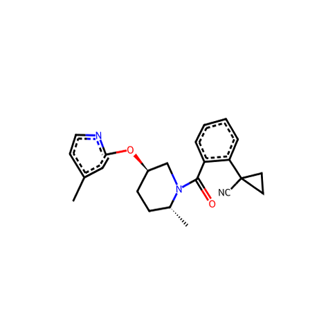 Cc1ccnc(O[C@@H]2CC[C@@H](C)N(C(=O)c3ccccc3C3(C#N)CC3)C2)c1